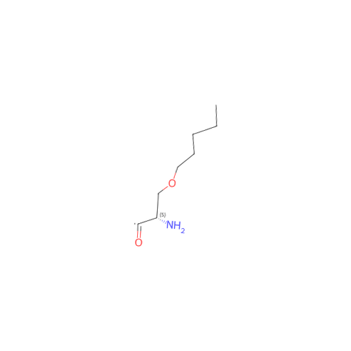 CCCCCOC[C@H](N)[C]=O